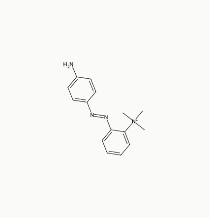 C[N+](C)(C)c1ccccc1/N=N/c1ccc(N)cc1